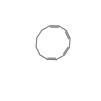 [C]1=CCCCCC=CC=CC=C1